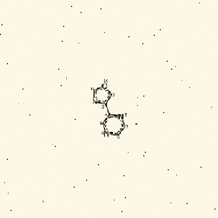 [c]1nc(-c2cnccn2)co1